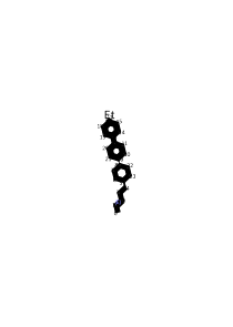 C/C=C/CC[C@H]1CC[C@H](c2ccc(-c3ccc(CC)cc3)cc2)CC1